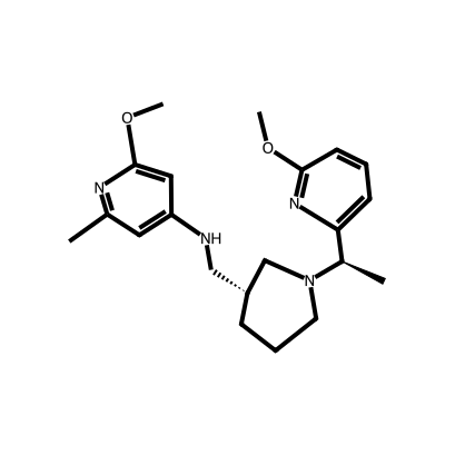 COc1cc(NC[C@H]2CCCN([C@H](C)c3cccc(OC)n3)C2)cc(C)n1